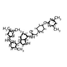 Cc1cc(C)nc(OC2CCN(CC(=O)Nc3cccc4c(-c5nc(Nc6cc(C)n(C)n6)ncc5C)c[nH]c34)CC2)n1